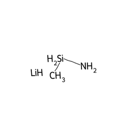 C[SiH2]N.[LiH]